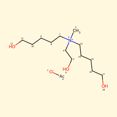 CC(=O)[O-].C[N+](CCO)(CCCCCO)CCCCCO